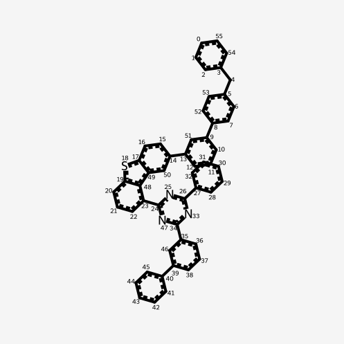 c1ccc(Cc2ccc(-c3cccc(-c4ccc5sc6cccc(-c7nc(-c8ccccc8)nc(-c8cccc(-c9ccccc9)c8)n7)c6c5c4)c3)cc2)cc1